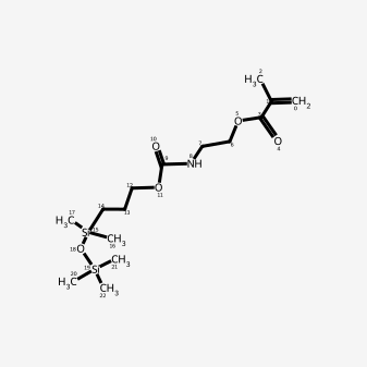 C=C(C)C(=O)OCCNC(=O)OCCC[Si](C)(C)O[Si](C)(C)C